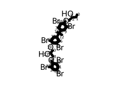 CCC(O)COc1c(Br)cc(C(C)(C)c2cc(Br)c(OCC(O)COc3c(Br)cc(Br)cc3Br)c(Br)c2)cc1Br